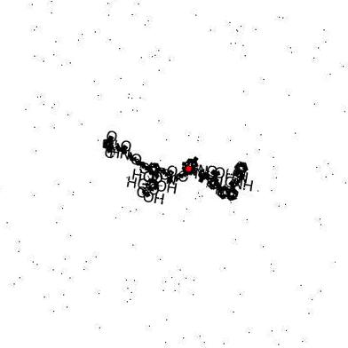 Cc1c(-c2ccc(N3CCc4cccc(C(=O)Nc5nc6ccccc6s5)c4C3)nc2C(=O)O)cnn1CC12CC3(C)CC(C)(C1)CC(OCCN(C)C(=O)OCc1ccc(OCCOCCNC(=O)CCN4C(=O)C=CC4=O)cc1O[C@@H]1[C@@H](O)[C@H](O)[C@@H](C(=O)O)O[C@H]1O)(C3)C2